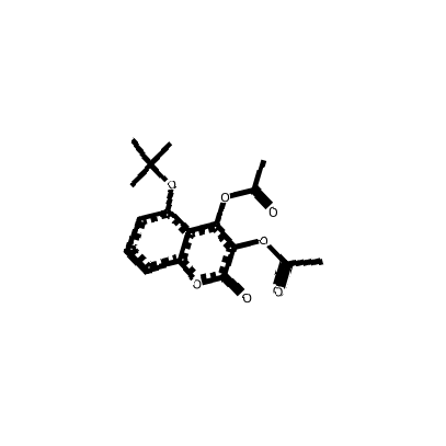 CC(=O)Oc1c(OC(C)=O)c2c(OC(C)(C)C)cccc2oc1=O